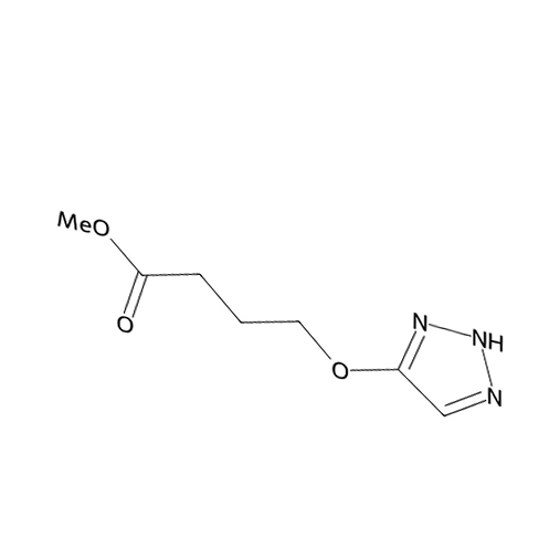 COC(=O)CCCOc1cn[nH]n1